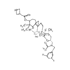 CC(=O)N(Cc1cc(F)cc(F)c1)CC1C[C@@H](C)[C@H]2C(O1)[C@H](O)[C@@]1(C)C3CC[C@H]4C(C)(C)C(OC(=O)C5CNC5)CCC45CC35CCC21C